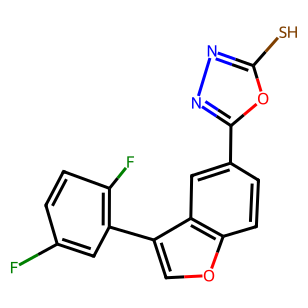 Fc1ccc(F)c(-c2coc3ccc(-c4nnc(S)o4)cc23)c1